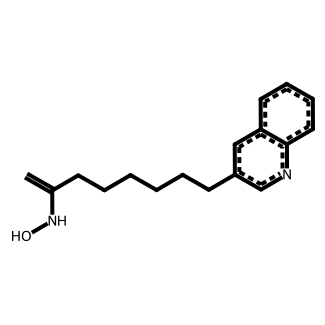 C=C(CCCCCCc1cnc2ccccc2c1)NO